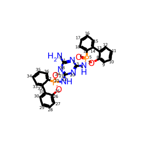 Nc1nc(NP2(=O)Oc3ccccc3-c3ccccc32)nc(NP2(=O)Oc3ccccc3-c3ccccc32)n1